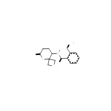 C=Cc1ccccc1C(=O)N(C)C1CCC(=O)NC12COC2